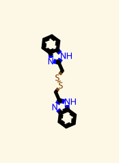 c1ccc2[nH]c(CSSCc3nc4ccccc4[nH]3)nc2c1